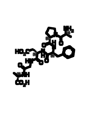 C[C@H](N)C(=O)N1CCC[C@H]1C(=O)N[C@@H](Cc1ccccc1)C(=O)N[C@@H](CC(=O)O)C(=O)NCC(=O)N[C@@H](C)C(=O)O